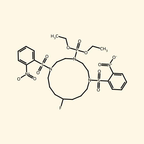 CCOP(=O)(OCC)N1CCN(S(=O)(=O)c2ccccc2[N+](=O)[O-])CCCC(F)CCCN(S(=O)(=O)c2ccccc2[N+](=O)[O-])CC1